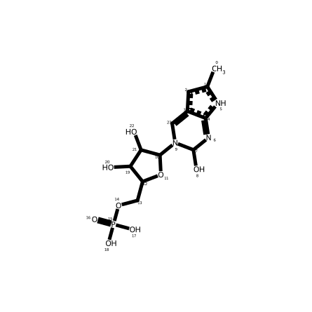 Cc1cc2c([nH]1)=NC(O)N(C1OC(COP(=O)(O)O)C(O)C1O)C=2